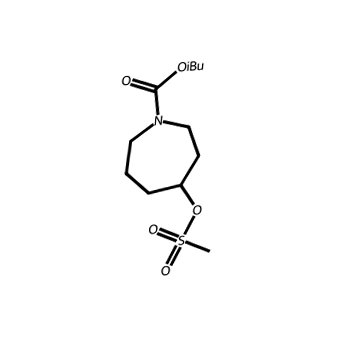 CC(C)COC(=O)N1CCCC(OS(C)(=O)=O)CC1